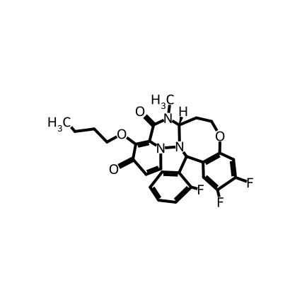 CCCCOc1c2n(ccc1=O)N1C(c3ccccc3F)c3cc(F)c(F)cc3OCC[C@H]1N(C)C2=O